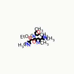 CCOC(=O)N(c1c(C(=O)c2cnn(C)c2)oc2nc(C)c(-c3cnn(C)c3)cc12)[C@H]1C[C@@H](C)O[C@@H](C)C1